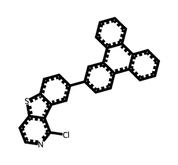 Clc1nccc2sc3ccc(-c4ccc5c6ccccc6c6ccccc6c5c4)cc3c12